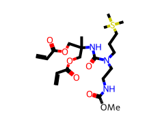 C=CC(=O)OCC(C)(COC(=O)C=C)NC(=O)N(CCCS(C)(C)C)CCNC(=O)OC